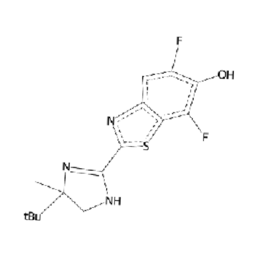 CC(C)(C)C1(C)CNC(c2nc3cc(F)c(O)c(F)c3s2)=N1